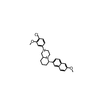 COc1ccc2cc([C@H]3CCCC4CN(c5ccc(Cl)c(OC)c5)CCN43)ccc2c1